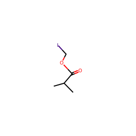 CC(C)C(=O)OCI